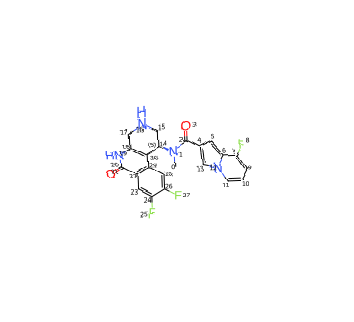 CN(C(=O)c1cc2c(F)cccn2c1)[C@@H]1CNCc2[nH]c(=O)c3cc(F)c(F)cc3c21